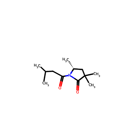 CC(C)CC(=O)N1C(=O)C(C)(C)C[C@H]1C